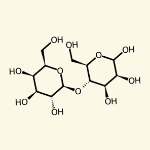 OC[C@H]1O[C@@H](O[C@H]2[C@H](O)[C@H](O)C(O)O[C@@H]2CO)[C@H](O)[C@@H](O)[C@H]1O